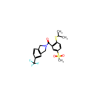 CC(C)Sc1ccc(S(C)(=O)=O)cc1C(=O)N1Cc2ccc(C(F)(F)F)cc2C1